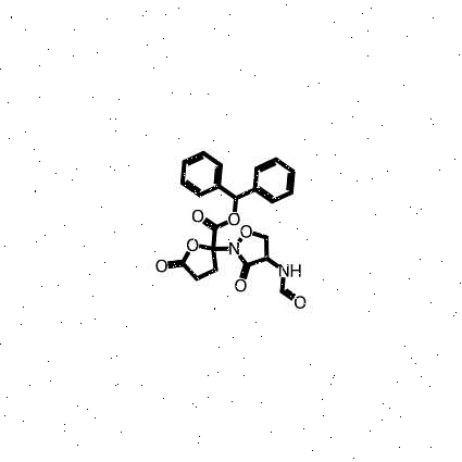 O=CNC1CON(C2(C(=O)OC(c3ccccc3)c3ccccc3)CCC(=O)O2)C1=O